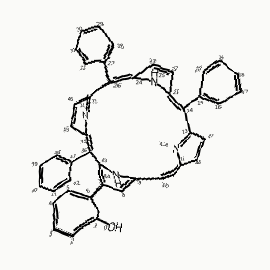 Oc1ccccc1-c1cc2cc3nc(c(-c4ccccc4)c4ccc([nH]4)c(-c4ccccc4)c4nc(c(-c5ccccc5)c1[nH]2)C=C4)C=C3